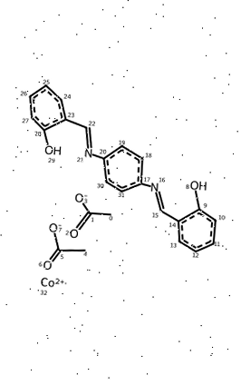 CC(=O)[O-].CC(=O)[O-].Oc1ccccc1C=Nc1ccc(N=Cc2ccccc2O)cc1.[Co+2]